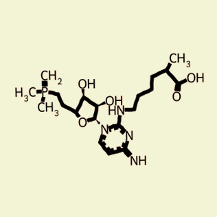 C=P(C)(C)CCC1O[C@@H](n2ccc(=N)nc2NCCCCC(C)C(=O)O)[C@H](O)[C@@H]1O